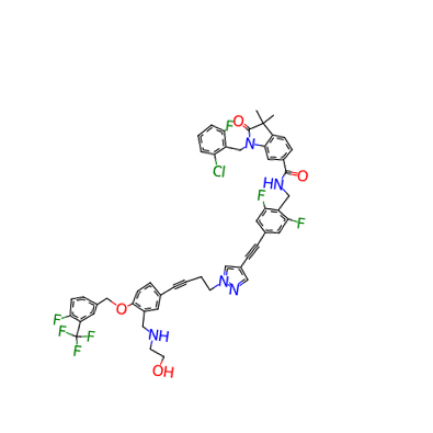 CC1(C)C(=O)N(Cc2c(F)cccc2Cl)c2cc(C(=O)NCc3c(F)cc(C#Cc4cnn(CCC#Cc5ccc(OCc6ccc(F)c(C(F)(F)F)c6)c(CNCCO)c5)c4)cc3F)ccc21